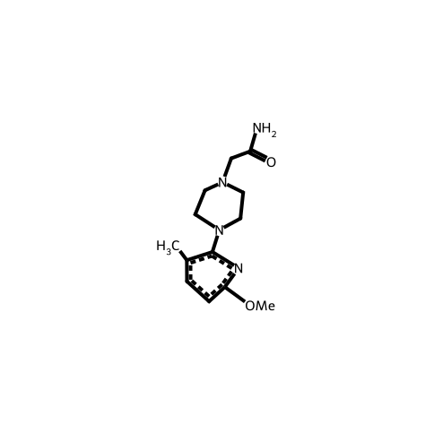 COc1ccc(C)c(N2CCN(CC(N)=O)CC2)n1